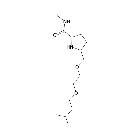 CC(C)CCOCCOCC1CCC(C(=O)NI)N1